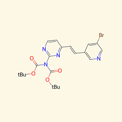 CC(C)(C)OC(=O)N(C(=O)OC(C)(C)C)c1nccc(/C=C/c2cncc(Br)c2)n1